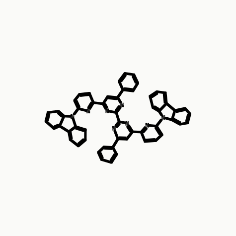 c1ccc(-c2cc(-c3cccc(-n4c5ccccc5c5ccccc54)n3)nc(-c3nc(-c4ccccc4)cc(-c4cccc(-n5c6ccccc6c6ccccc65)n4)n3)n2)cc1